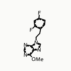 COc1ncnc2c1ncn2CCc1ccc(F)cc1F